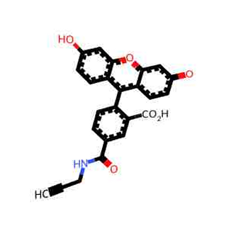 C#CCNC(=O)c1ccc(-c2c3ccc(=O)cc-3oc3cc(O)ccc23)c(C(=O)O)c1